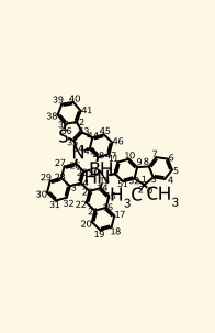 CC1(C)c2ccccc2-c2ccc(Nc3cc4ccccc4cc3-c3c4c(cc5ccccc35)-n3c5sc6ccccc6c5c5cccc(c53)B4)cc21